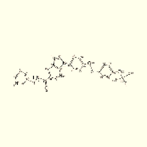 O=C(NCc1cccnc1)c1cnc2c(c1)ncn2-c1ccc(OCc2ccc(OC(F)(F)F)cc2)cc1